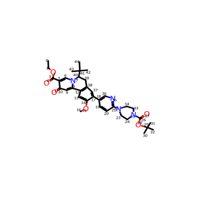 CCOC(=O)c1cn2c(cc1=O)-c1cc(OC)c(-c3ccc(N4CCN(C(=O)OC(C)(C)C)CC4)nc3)cc1CC2C(C)(C)C